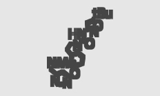 CNCc1cc(Oc2ccc3c(c2)CCN3C(=O)Nc2cc(C(C)(C)C)on2)ncn1